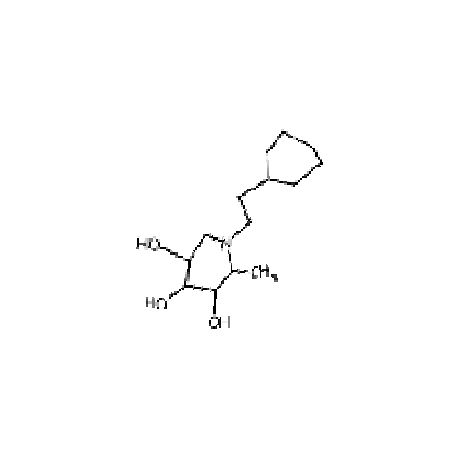 CC1C(O)C(O)C(O)CN1CCC1CCCCC1